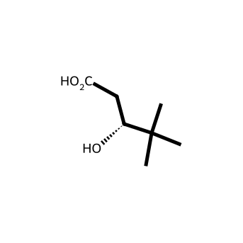 CC(C)(C)[C@H](O)CC(=O)O